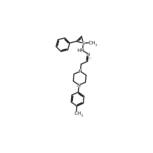 Cc1ccc(N2CCN(C/C=N\NS3(C)C=C3c3ccccc3)CC2)cc1